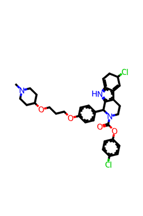 CN1CCC(OCCCOc2ccc(C3c4[nH]c5c(c4CCN3C(=O)Oc3ccc(Cl)cc3)=CC(Cl)CC=5)cc2)CC1